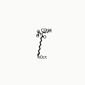 CCCCCCCCC=CCCCCCCCC(=O)N(C(CO)C(=O)O)P(=O)=O